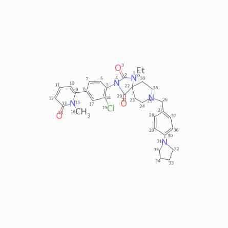 CCN1C(=O)N(c2ccc(-c3cccc(=O)n3C)cc2Cl)C(=O)C12CCN(Cc1ccc(N3CCCC3)cc1)CC2